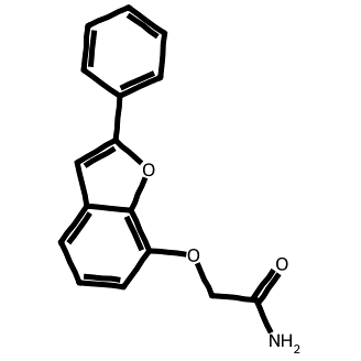 NC(=O)COc1cccc2cc(-c3ccccc3)oc12